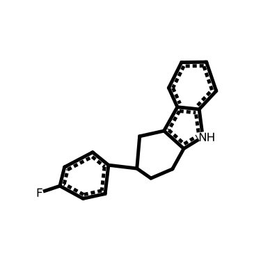 Fc1ccc(C2CCc3[nH]c4ccccc4c3C2)cc1